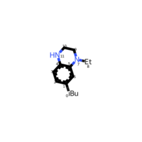 CCC(C)c1ccc2c(c1)N(CC)CCN2